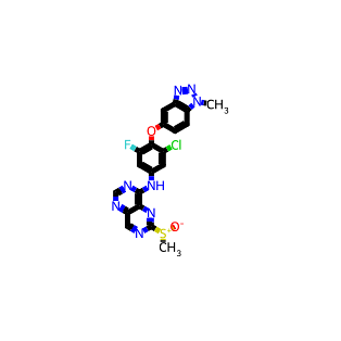 Cn1nnc2cc(Oc3c(F)cc(Nc4ncnc5cnc([S+](C)[O-])nc45)cc3Cl)ccc21